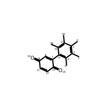 Cc1c(C)c(C)c(C2=CC(=O)C=CC2=O)c(C)c1C